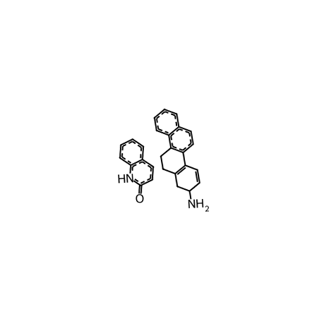 NC1C=CC2=C(CCc3c2ccc2ccccc32)C1.O=c1ccc2ccccc2[nH]1